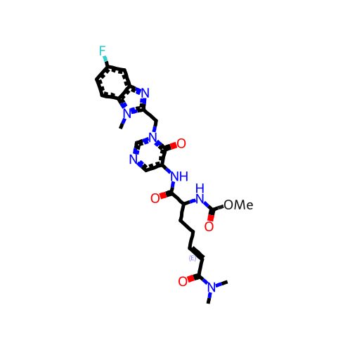 COC(=O)NC(CC/C=C/C(=O)N(C)C)C(=O)Nc1cncn(Cc2nc3cc(F)ccc3n2C)c1=O